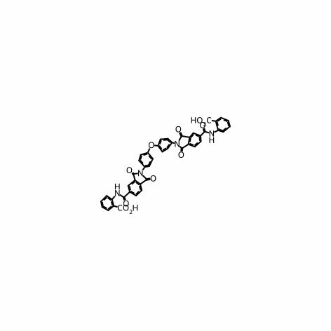 O=C(Nc1ccccc1C(=O)O)c1ccc2c(c1)C(=O)N(c1ccc(Oc3ccc(N4C(=O)c5ccc(C(=O)Nc6ccccc6C(=O)O)cc5C4=O)cc3)cc1)C2=O